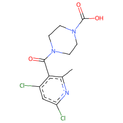 Cc1nc(Cl)cc(Cl)c1C(=O)N1CCN(C(=O)O)CC1